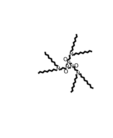 CCCCCCCCCN(CCCCCCCCC)CCC(=O)N1CN(C(=O)CCN(CCCCCCCCC)CCCCCCCCC)CN(C(=O)CCN(CCCCCCCCC)CCCCCCCCC)C1